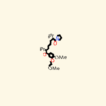 COCCCOc1cc(C(=O)C(C/C=C/CC(C(=O)N2CCCC2)C(C)C)C(C)C)ccc1OC